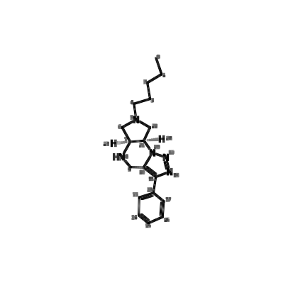 CCCCCN1C[C@@H]2NCc3c(-c4ccccc4)nnn3[C@@H]2C1